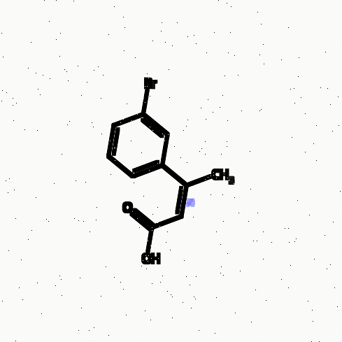 C/C(=C/C(=O)O)c1cccc(Br)c1